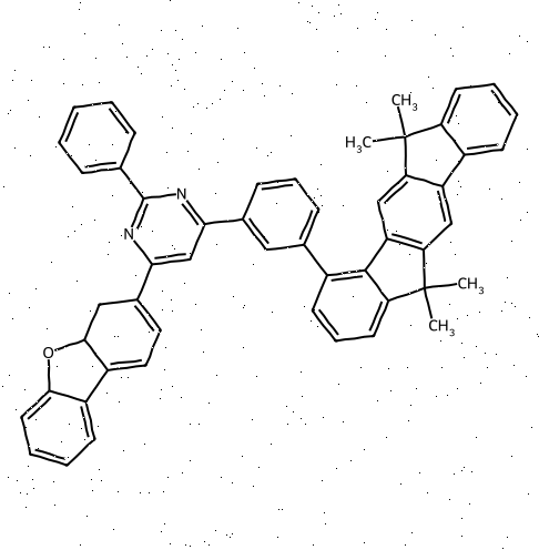 CC1(C)c2ccccc2-c2cc3c(cc21)-c1c(-c2cccc(-c4cc(C5=CC=C6c7ccccc7OC6C5)nc(-c5ccccc5)n4)c2)cccc1C3(C)C